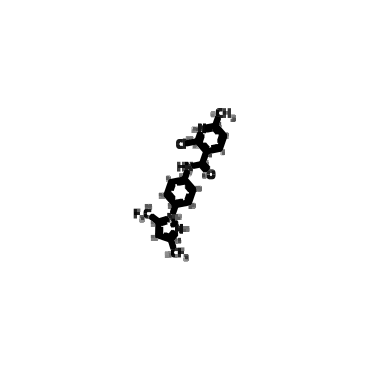 Cc1ccc(C(=O)Nc2ccc(-n3nc(C(F)(F)F)cc3C(F)(F)F)cc2)c(Cl)n1